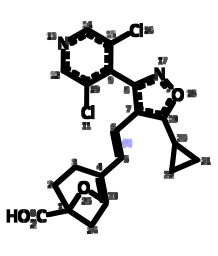 O=C(O)C12CCC(/C=C/c3c(-c4c(Cl)cncc4Cl)noc3C3CC3)=C(C1)O2